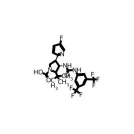 CC(C)(C)C1[C@@H](NC(=O)Nc2cc(C(F)(F)F)cc(C(F)(F)F)c2)[C@H](c2ccc(F)cn2)CN1C(=O)O